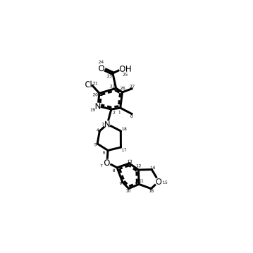 Cc1c(N2CCC(Oc3ccc4c(c3)COC4)CC2)nc(Cl)c(C(=O)O)c1C